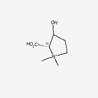 C[N+]1(C)CCC(O)[C@H]1C(=O)O